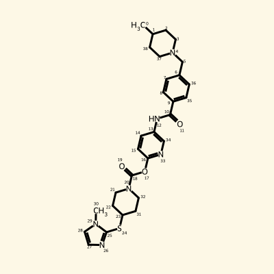 CC1CCN(Cc2ccc(C(=O)Nc3ccc(OC(=O)N4CCC(Sc5nccn5C)CC4)nc3)cc2)CC1